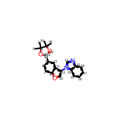 CC1(C)OB(c2ccc3occ(-n4cnc5ccccc54)c3c2)OC1(C)C